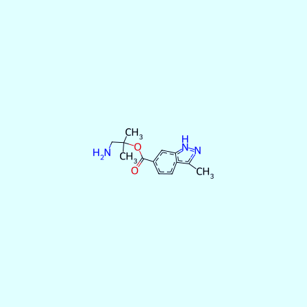 Cc1n[nH]c2cc(C(=O)OC(C)(C)CN)ccc12